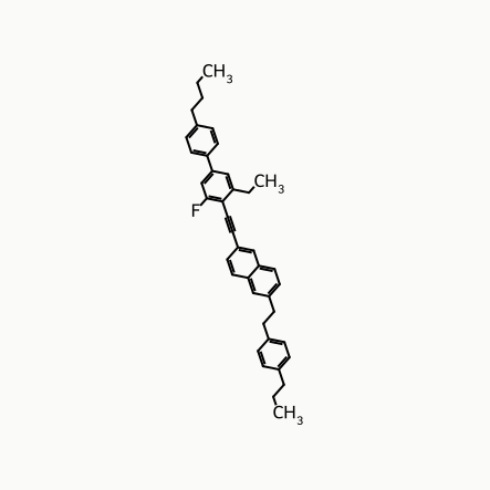 CCCCc1ccc(-c2cc(F)c(C#Cc3ccc4cc(CCc5ccc(CCC)cc5)ccc4c3)c(CC)c2)cc1